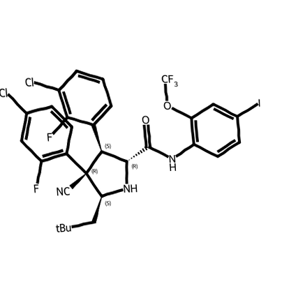 CC(C)(C)C[C@@H]1N[C@@H](C(=O)Nc2ccc(I)cc2OC(F)(F)F)[C@H](c2cccc(Cl)c2F)[C@@]1(C#N)c1ccc(Cl)cc1F